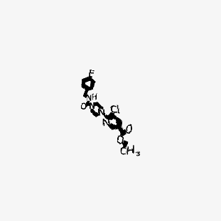 CCOC(=O)c1cnc(N2CCN(C(=O)NCc3ccc(F)cc3)CC2)c(Cl)c1